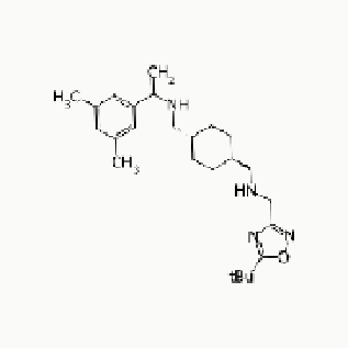 C=C(NC[C@H]1CC[C@H](CNCc2noc(C(C)(C)C)n2)CC1)c1cc(C)cc(C)c1